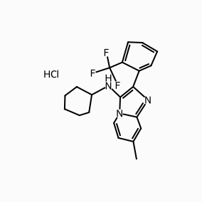 Cc1ccn2c(NC3CCCCC3)c(-c3ccccc3C(F)(F)F)nc2c1.Cl